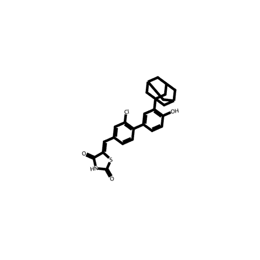 O=C1NC(=O)/C(=C/c2ccc(-c3ccc(O)c(C45CC6CC(CC(C6)C4)C5)c3)c(Cl)c2)S1